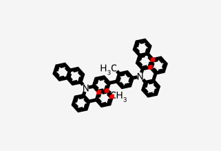 Cc1cc(N(c2ccc3ccccc3c2)c2ccccc2-c2ccccc2)ccc1-c1ccc(N(c2ccc3ccccc3c2)c2ccccc2-c2ccccc2)cc1C